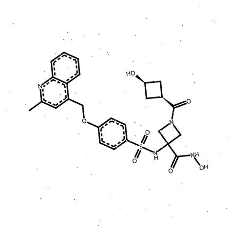 Cc1cc(COc2ccc(S(=O)(=O)NC3(C(=O)NO)CN(C(=O)[C@H]4C[C@@H](O)C4)C3)cc2)c2ccccc2n1